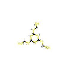 SCSC1SC(SCS)SC(SCS)S1